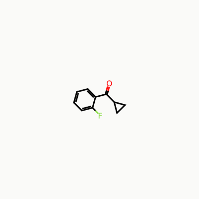 O=C(c1ccccc1F)C1CC1